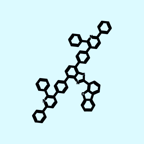 c1ccc(-c2ccc(-c3ccc(-c4ccc(-c5ccc(-c6ccc(-c7ccccc7)nc6-c6ccccc6)cc5)c5sc(-c6cccc7c6oc6ccccc67)nc45)cc3)c(-c3ccccc3)n2)cc1